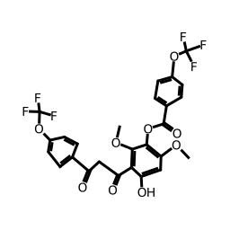 COc1cc(O)c(C(=O)CC(=O)c2ccc(OC(F)(F)F)cc2)c(OC)c1OC(=O)c1ccc(OC(F)(F)F)cc1